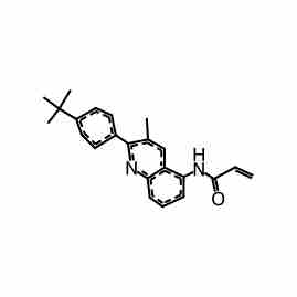 C=CC(=O)Nc1cccc2nc(-c3ccc(C(C)(C)C)cc3)c(C)cc12